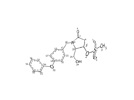 CS(=O)(=O)OC1CC(=O)N(Cc2ccc(Oc3ccccc3)cc2)C1CO